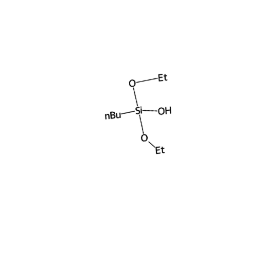 CCCC[Si](O)(OCC)OCC